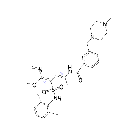 C=N/C(OC)=C(\C=C(/C)NC(=O)c1cccc(CN2CCN(C)CC2)c1)S(=O)(=O)Nc1c(C)cccc1C